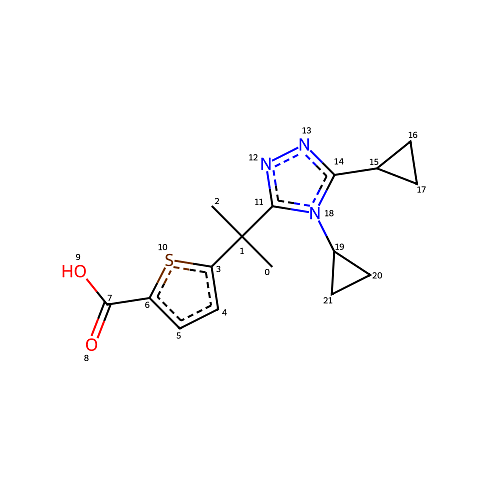 CC(C)(c1ccc(C(=O)O)s1)c1nnc(C2CC2)n1C1CC1